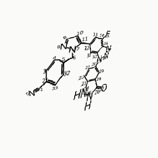 N#Cc1ccc(Cn2nccc2-c2cc(F)c3nnn(-c4ccc5[nH][nH]c(=O)c5c4)c3c2)cc1